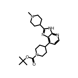 CN1CCC(c2nc3c(C4CCN(C(=O)OC(C)(C)C)CC4)ccnc3[nH]2)CC1